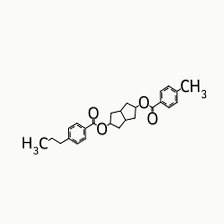 CCCc1ccc(C(=O)OC2CC3CC(OC(=O)c4ccc(C)cc4)CC3C2)cc1